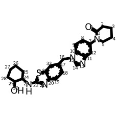 O=C1CCCCN1c1ccc2c(c1)ncn2Cc1ccc2nc(NC3CCCCC3O)sc2c1